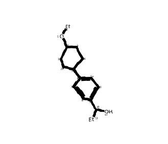 CCOC1CCC(c2ccc(C(O)CC)cc2)CC1